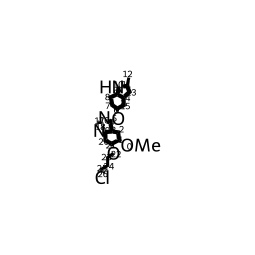 COc1cc2c(Oc3ccc4[nH]c(C)cc4c3)ncnc2cc1OCCCCl